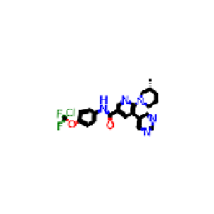 C[C@@H]1CCCN(c2ncc(C(=O)Nc3ccc(OC(F)(F)Cl)cc3)cc2-c2cncnc2)C1